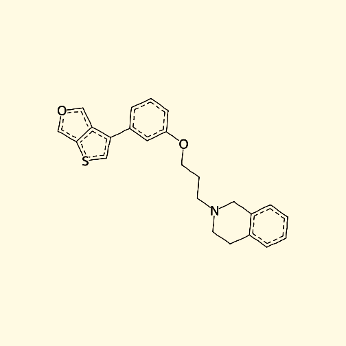 c1cc(OCCCN2CCc3ccccc3C2)cc(-c2csc3cocc23)c1